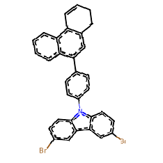 Brc1ccc2c(c1)c1cc(Br)ccc1n2-c1ccc(-c2cc3c(c4ccccc24)C=CCC3)cc1